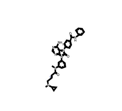 CN(C(=O)/C=C/CN(C)C1CC1)c1cccc(-n2c(=O)n(-c3ccc(C(=O)Nc4ccccc4)cc3)c3c(N)ncnc32)c1